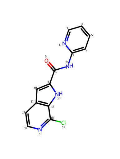 O=C(Nc1ccccn1)c1cc2ccnc(Cl)c2[nH]1